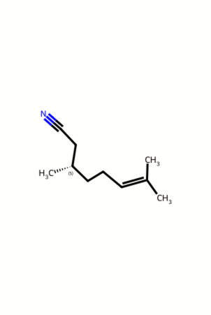 CC(C)=CCC[C@H](C)CC#N